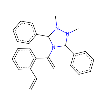 C=Cc1ccccc1C(=C)N1C(c2ccccc2)N(C)N(C)C1c1ccccc1